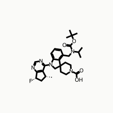 CC(C)N(Cc1cccc2c1C1(CCN(C(=O)O)CC1)CN2c1ncnc2c1[C@H](C)C[C@@H]2F)C(=O)OC(C)(C)C